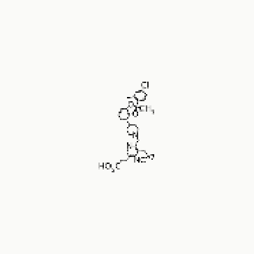 C[C@]1(c2ccc(Cl)cc2F)Oc2cccc(C3CCN(Cc4ncc(CCC(=O)O)cc4CC4(C#N)CC4)CC3)c2O1